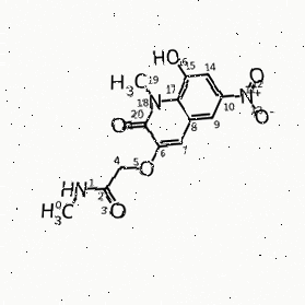 CNC(=O)COc1cc2cc([N+](=O)[O-])cc(O)c2n(C)c1=O